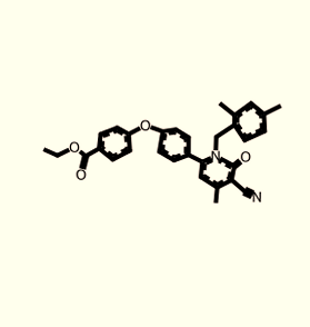 CCOC(=O)c1ccc(Oc2ccc(-c3cc(C)c(C#N)c(=O)n3Cc3ccc(C)cc3C)cc2)cc1